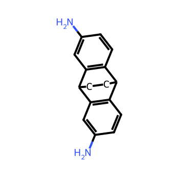 Nc1ccc2c(c1)C1CCC2c2ccc(N)cc21